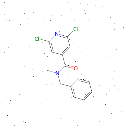 CN(Cc1ccccc1)C(=O)c1cc(Cl)nc(Cl)c1